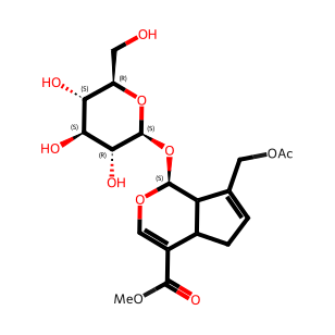 COC(=O)C1=CO[C@@H](O[C@@H]2O[C@H](CO)[C@@H](O)[C@H](O)[C@H]2O)C2C(COC(C)=O)=CCC12